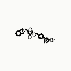 O=c1cc(CN2Cc3ccccc3C2)occ1OCc1ccc(-n2cc(Br)cn2)cc1